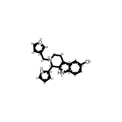 Clc1ccc2[nH]c3c(c2c1)CCN(Cc1ccoc1)C3c1ccco1